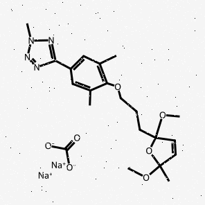 COC1(C)C=CC(CCCOc2c(C)cc(-c3nnn(C)n3)cc2C)(OC)O1.O=C([O-])[O-].[Na+].[Na+]